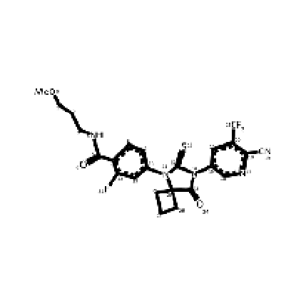 COCCCNC(=O)c1ccc(N2C(=S)N(c3cnc(C#N)c(C(F)(F)F)c3)C(=O)C23CCC3)cc1F